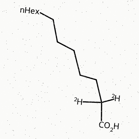 [2H]C([2H])(CCCCCCCCCCC)C(=O)O